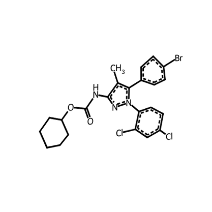 Cc1c(NC(=O)OC2CCCCC2)nn(-c2ccc(Cl)cc2Cl)c1-c1ccc(Br)cc1